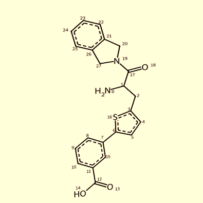 NC(Cc1ccc(-c2cccc(C(=O)O)c2)s1)C(=O)N1Cc2ccccc2C1